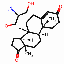 C[C@]12CCC(=O)C=C1CC[C@@H]1[C@@H]2CC[C@]2(C)C(=O)CC[C@@H]12.NC(CO)CO